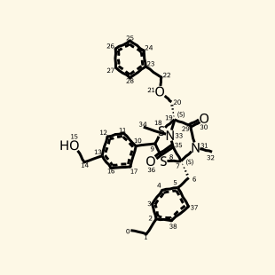 CCc1ccc(C[C@@]23SC(c4ccc(CO)cc4)S[C@@](COCc4ccccc4)(C(=O)N2C)N(C)C3=O)cc1